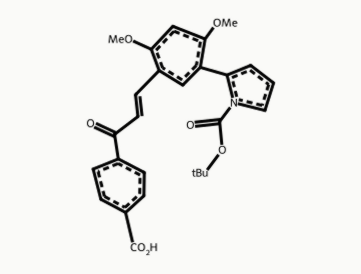 COc1cc(OC)c(-c2cccn2C(=O)OC(C)(C)C)cc1/C=C/C(=O)c1ccc(C(=O)O)cc1